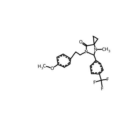 COc1ccc(CCN2C(=O)C3(CC3)N(C)C2c2ccc(C(F)(F)F)cc2)cc1